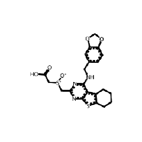 O=C(O)C[S+]([O-])Cc1nc(NCc2ccc3c(c2)OCO3)c2c3c(sc2n1)CCCC3